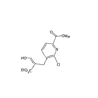 CCOC(=O)C(=CO)Cc1ccc(C(=O)OC)nc1Cl